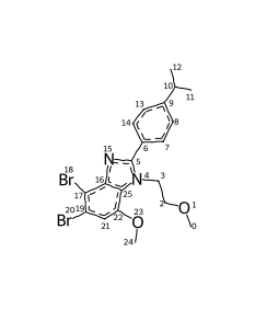 COCCn1c(-c2ccc(C(C)C)cc2)nc2c(Br)c(Br)cc(OC)c21